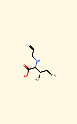 C=CCN[C@H](C(=O)O)[C@@H](C)CC